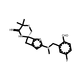 CN(Cc1cc(F)ccc1C=O)c1cc2c(s1)[C@@]1(CSC(C)(C)C(=N)N1)C2